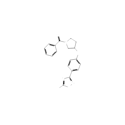 O=C(c1ccccc1)N1CCC(Oc2ccc(-c3noc(C(F)(F)F)n3)cc2)C1